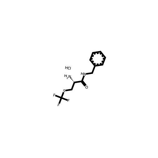 Cl.N[C@@H](CSC(F)(F)F)C(=O)NCc1ccccc1